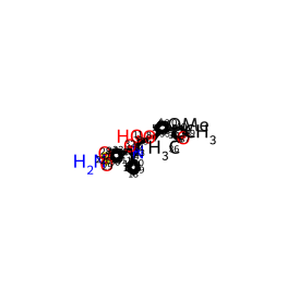 COC1(c2cccc(COCC(O)c3nc(-c4ccccc4)c(-c4ccc(S(N)(=O)=O)cc4)o3)c2)CC(C)OC(C)C1